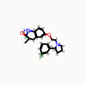 CC1Cc2cc(OCCN3CCCC3c3cccc(F)c3)ccc2NC1=O